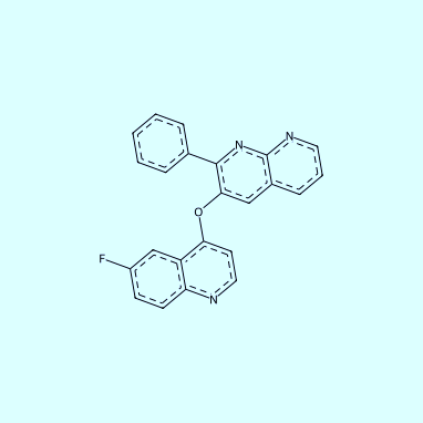 Fc1ccc2nccc(Oc3cc4cccnc4nc3-c3ccccc3)c2c1